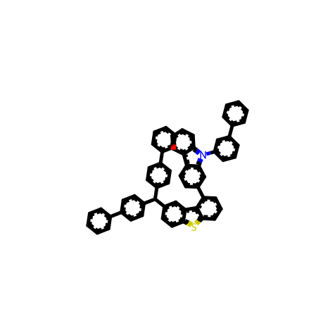 c1ccc(-c2ccc(C(c3ccc(-c4ccccc4)cc3)c3ccc4sc5cccc(-c6ccc7c8ccccc8n(-c8cccc(-c9ccccc9)c8)c7c6)c5c4c3)cc2)cc1